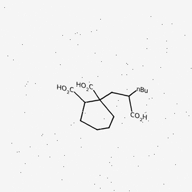 CCCCC(CC1(C(=O)O)CCCCC1C(=O)O)C(=O)O